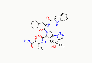 CC(NC(=O)[C@@H]1C[C@H](n2nncc2C(C)(C)O)CN1C(=O)/C(CC1CCCCC1)=N/C(=O)c1cc2ccccc2[nH]1)C(=O)C(N)=O